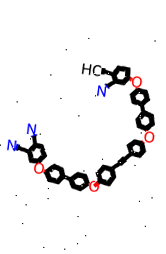 C#Cc1ccc(Oc2ccc(-c3ccc(Oc4ccc(C#Cc5ccc(Oc6ccc(-c7ccc(Oc8ccc(C#N)c(C#N)c8)cc7)cc6)cc5)cc4)cc3)cc2)cc1C#N